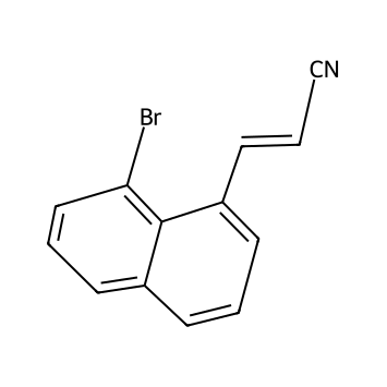 N#C/C=C/c1cccc2cccc(Br)c12